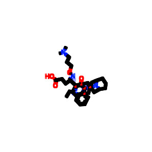 CCC1CC2CC(C1)CC(N1C3CCCC1CC(n1c(=O)c(/C(CCC(=O)O)=N/OCCCN(C)C)nc4ccccc41)C3)C2